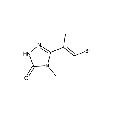 C/C(=C\Br)c1n[nH]c(=O)n1C